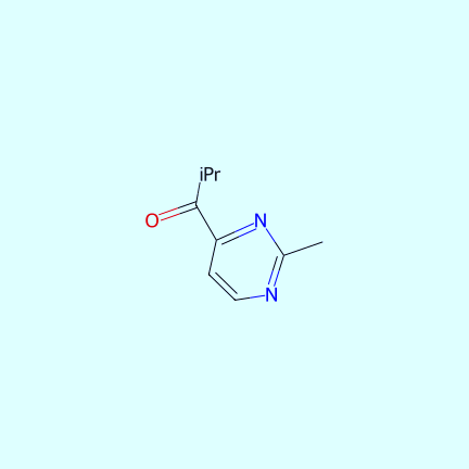 Cc1nccc(C(=O)C(C)C)n1